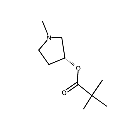 CN1CC[C@@H](OC(=O)C(C)(C)C)C1